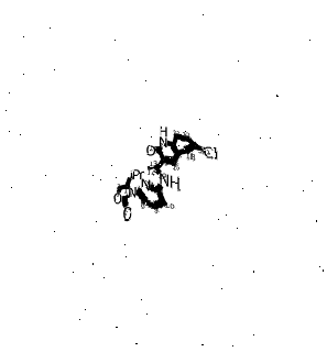 CC(C)C1COC(=O)N1c1cccc(N[C@@H](C)c2cc3cc(Cl)ccc3[nH]c2=O)n1